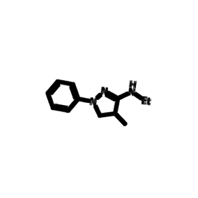 CCNC1=NN(c2ccccc2)CC1C